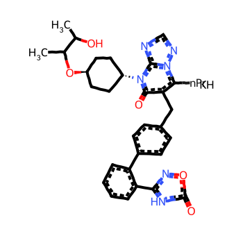 CCCc1c(Cc2ccc(-c3ccccc3-c3noc(=O)[nH]3)cc2)c(=O)n([C@H]2CC[C@H](OC(C)C(C)O)CC2)c2ncnn12.[KH]